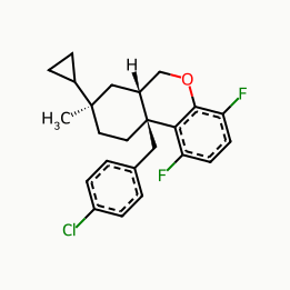 C[C@@]1(C2CC2)CC[C@@]2(Cc3ccc(Cl)cc3)c3c(F)ccc(F)c3OC[C@H]2C1